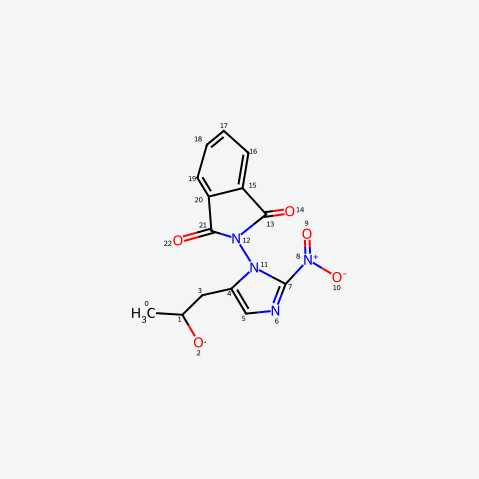 CC([O])Cc1cnc([N+](=O)[O-])n1N1C(=O)c2ccccc2C1=O